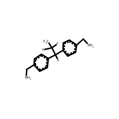 NCc1ccc(C(F)(c2ccc(CN)cc2)C(F)(F)C(F)(F)F)cc1